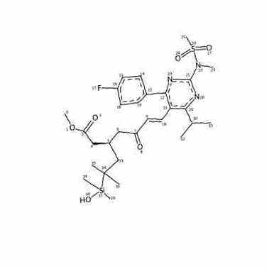 COC(=O)C[C@@H](CC(=O)/C=C/c1c(-c2ccc(F)cc2)nc(N(C)S(C)(=O)=O)nc1C(C)C)CC(C)(C)[Si](C)(C)O